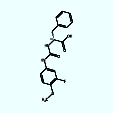 COc1ccc(NC(=O)N[C@H](Cc2ccccc2)C(=O)O)cc1F